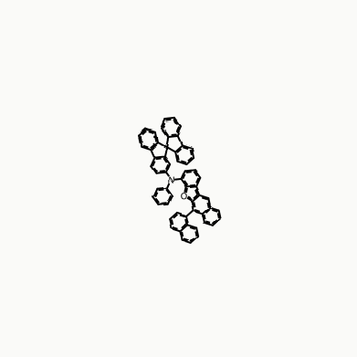 c1ccc(N(c2ccc3c(c2)C2(c4ccccc4-c4ccccc42)c2ccccc2-3)c2cccc3c2oc2c(-c4cccc5ccccc45)c4ccccc4cc23)cc1